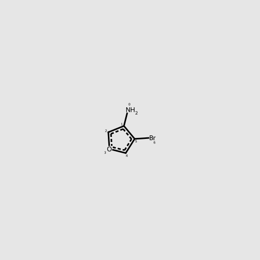 Nc1cocc1Br